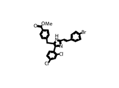 COC(=O)c1ccc(Cc2[nH]c(C=Cc3ccc(Br)cc3)nc2-c2ccc(Cl)cc2Cl)cc1